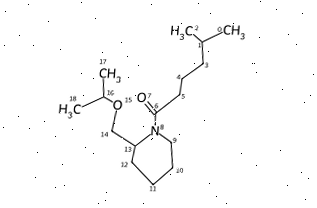 CC(C)CCCC(=O)N1CCCCC1COC(C)C